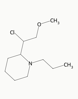 CCCN1CCCCC1C(Cl)COC